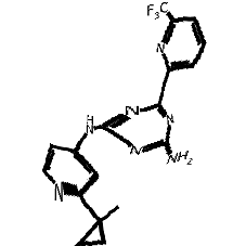 CC1(c2cc(Nc3nc(N)nc(-c4cccc(C(F)(F)F)n4)n3)ccn2)CC1